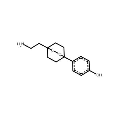 NCCC12CCC(c3ccc(O)cc3)(CC1)CC2